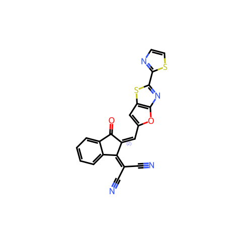 N#CC(C#N)=C1/C(=C/c2cc3sc(-c4nccs4)nc3o2)C(=O)c2ccccc21